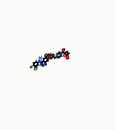 COc1cc2c(Nc3ccc(F)c(Cl)c3)ncnc2cc1OCCCN1CCN(C(=O)C2CCC(=O)O2)CC1